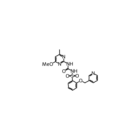 COc1cc(C)nc(NC(=O)NS(=O)(=O)c2ccccc2OCc2cccnc2)n1